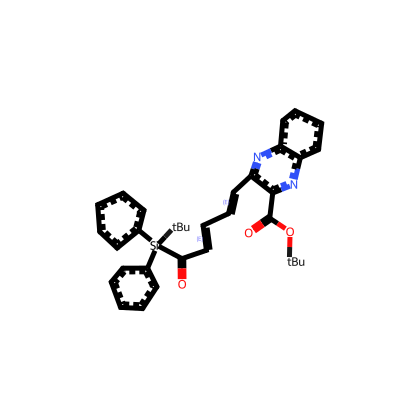 CC(C)(C)OC(=O)c1nc2ccccc2nc1/C=C/C=C/C(=O)[Si](c1ccccc1)(c1ccccc1)C(C)(C)C